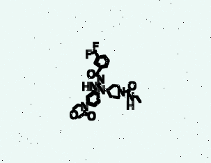 CCNC(=O)N1CCC(n2/c(=N/C(=O)c3cccc(C(F)F)c3)[nH]c3cc(N4CCOCC4=O)ccc32)CC1